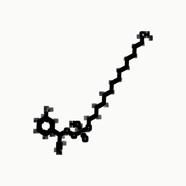 CCCCCCCCCCCCCCCOP(=O)(O)OOC(C#N)c1cccc(F)c1